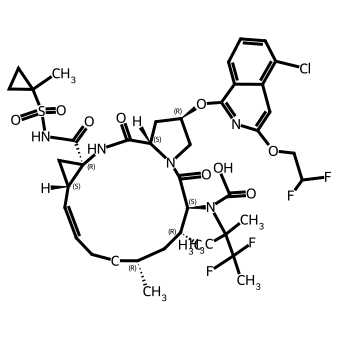 C[C@@H]1CCC=C[C@@H]2C[C@@]2(C(=O)NS(=O)(=O)C2(C)CC2)NC(=O)[C@@H]2C[C@@H](Oc3nc(OCC(F)F)cc4c(Cl)cccc34)CN2C(=O)[C@@H](N(C(=O)O)C(C)(C)C(C)(F)F)[C@H](C)C1